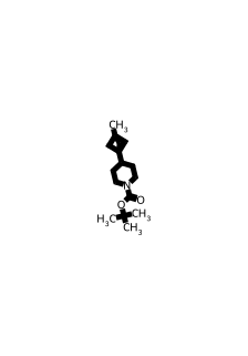 CC12CC(C3CCN(C(=O)OC(C)(C)C)CC3)(C1)C2